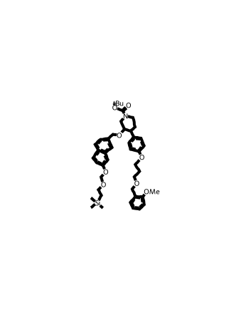 COc1ccccc1COCCCOc1ccc(C2CCN(C(=O)OC(C)(C)C)CC2OCc2ccc3ccc(OCOCC[Si](C)(C)C)cc3c2)cc1